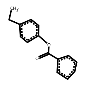 [CH2]Cc1ccc(OC(=O)c2ccccc2)cc1